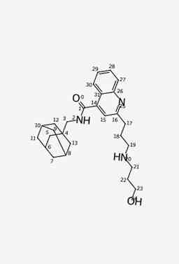 O=C(NCC12CC3CC(CC(C3)C1)C2)c1cc(CCCNCCCO)nc2ccccc12